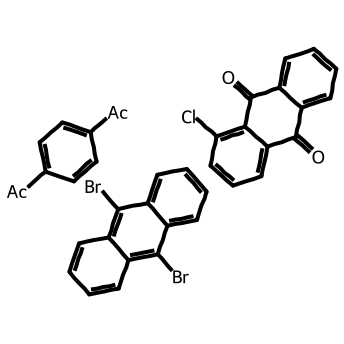 Brc1c2ccccc2c(Br)c2ccccc12.CC(=O)c1ccc(C(C)=O)cc1.O=C1c2ccccc2C(=O)c2c(Cl)cccc21